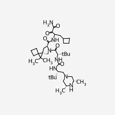 C[C@@H]1CN(C[C@@H](NC(=O)N[C@H](C(=O)N2C[C@]3(C[C@H]2C(=O)NC(CC2CCC2)C(=O)C(N)=O)C(C)(C)C32CCC2)C(C)(C)C)C(C)(C)C)C[C@H](C)N1